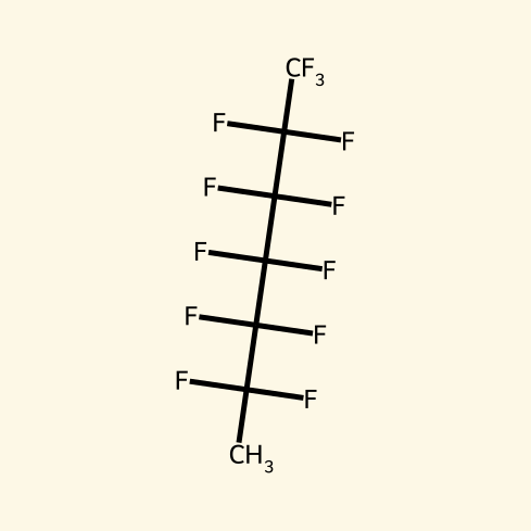 CC(F)(F)C(F)(F)C(F)(F)C(F)(F)C(F)(F)C(F)(F)F